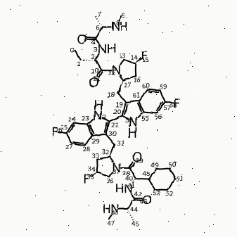 CC[C@H](NC(=O)[C@H](C)NC)C(=O)N1C[C@@H](F)C[C@H]1Cc1c(-c2[nH]c3cc(F)ccc3c2C[C@@H]2C[C@H](F)CN2C(=O)[C@@H](NC(=O)[C@H](C)NC)C2CCCCC2)[nH]c2cc(F)ccc12